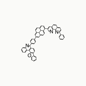 C1=CC2=CC=C(c3cnc4c(ccc5ccc(-c6ccccc6)nc54)c3)C3=CC=C4C=C(c5ccc(-c6nc7ccccc7c7c6ccc6c8ccccc8oc67)cc5)C=C1C4C23